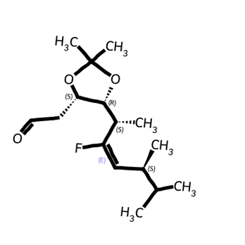 CC(C)[C@H](C)/C=C(/F)[C@@H](C)[C@H]1OC(C)(C)O[C@H]1CC=O